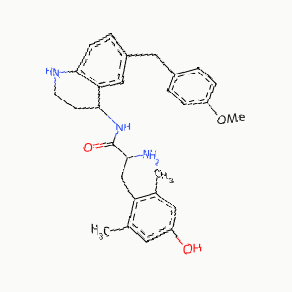 COc1ccc(Cc2ccc3c(c2)C(NC(=O)C(N)Cc2c(C)cc(O)cc2C)CCN3)cc1